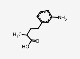 CC(CCc1cccc(N)c1)C(=O)O